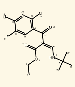 CCOC(=O)C(=CNC(C)(C)C)C(=O)c1cc(F)c(Cl)nc1Cl